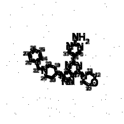 Nc1ncc(-c2nc(N3CCOCC3)c3nnn(C4CCN(Cc5ccccc5)CC4)c3n2)cn1